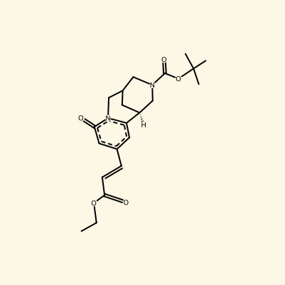 CCOC(=O)/C=C/c1cc2n(c(=O)c1)CC1C[C@H]2CN(C(=O)OC(C)(C)C)C1